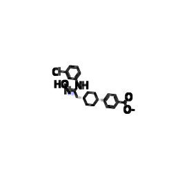 COC(=O)c1ccc([C@H]2CC[C@@H](C/C(=N/O)Nc3cccc(Cl)c3)CC2)cc1